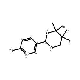 [2H]c1ccc(C2OCC(C)(C)C(C)(C)O2)cn1